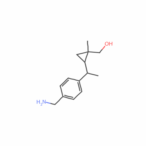 CC(c1ccc(CN)cc1)C1CC1(C)CO